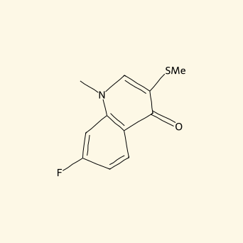 CSc1cn(C)c2cc(F)ccc2c1=O